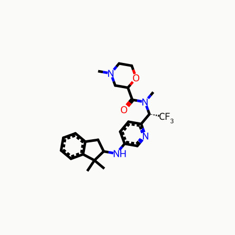 CN1CCOC(C(=O)N(C)[C@@H](c2ccc(NC3Cc4ccccc4C3(C)C)cn2)C(F)(F)F)C1